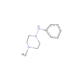 CN1CCN(Nc2cc[c]cc2)CC1